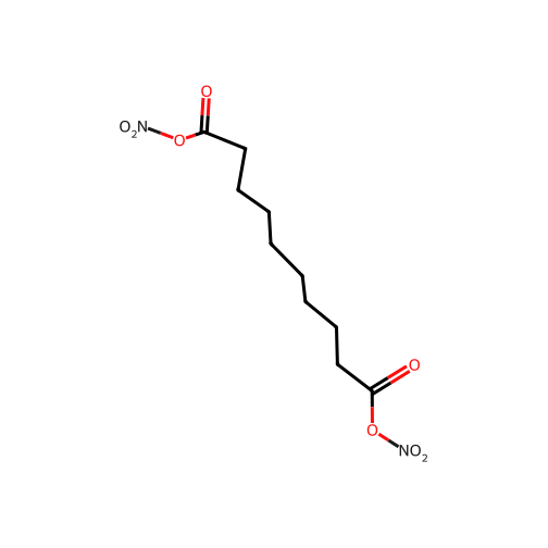 O=C(CCCCCCCCC(=O)O[N+](=O)[O-])O[N+](=O)[O-]